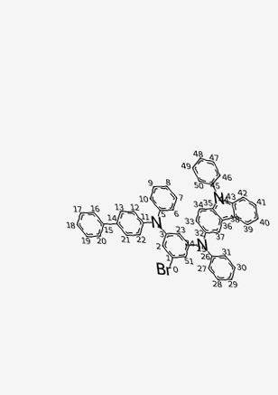 Brc1cc(N(c2ccccc2)c2ccc(-c3ccccc3)cc2)cc(N(c2ccccc2)c2ccc3c(c2)c2ccccc2n3-c2ccccc2)c1